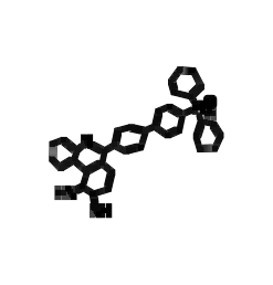 N=C1C=Cc2c(-c3ccc(-c4ccc([PH](O)(c5ccccc5)c5ccccc5)cc4)cc3)nc3ccccc3c2C1=N